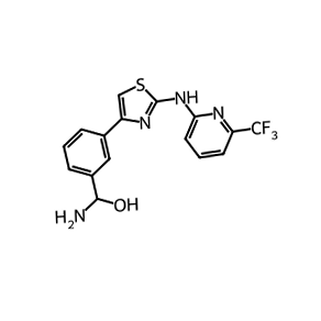 NC(O)c1cccc(-c2csc(Nc3cccc(C(F)(F)F)n3)n2)c1